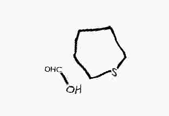 C1CCSCC1.O=CO